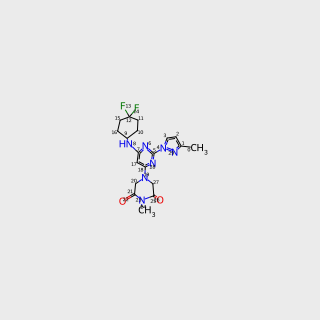 Cc1ccn(-c2nc(NC3CCC(F)(F)CC3)cc(N3CC(=O)N(C)C(=O)C3)n2)n1